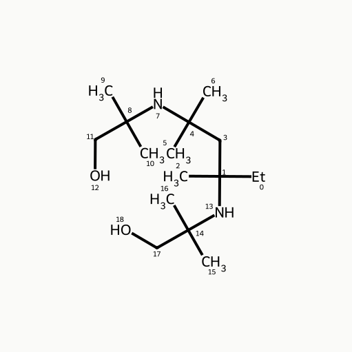 CCC(C)(CC(C)(C)NC(C)(C)CO)NC(C)(C)CO